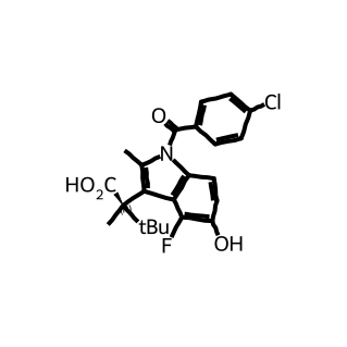 Cc1c([C@](C)(C(=O)O)C(C)(C)C)c2c(F)c(O)ccc2n1C(=O)c1ccc(Cl)cc1